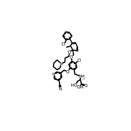 CC1C(c2ccccc2Cl)=CC=CC1(COc1cc(OCc2cncc(C#N)c2)c(CN[C@](C)(CO)C(=O)O)cc1Cl)OCCCN1CCCCC1